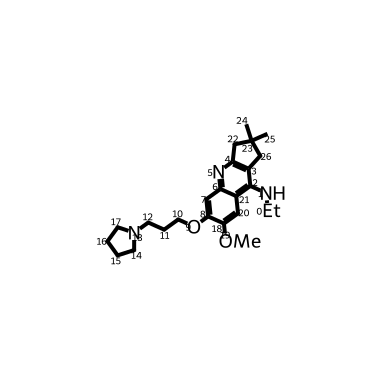 CCNc1c2c(nc3cc(OCCCN4CCCC4)c(OC)cc13)CC(C)(C)C2